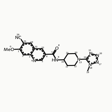 COc1cc2ncc(C(=O)NC3CCN(c4nnnn4C)CC3)cc2cc1C#N